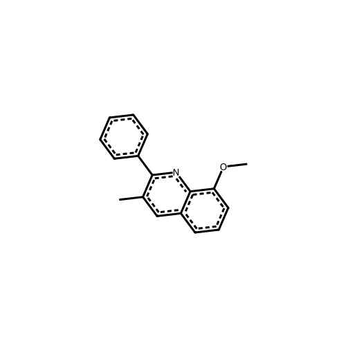 COc1cccc2cc(C)c(-c3ccccc3)nc12